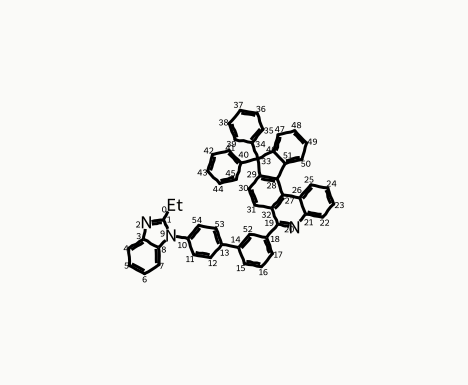 CCc1nc2ccccc2n1-c1ccc(-c2cccc(-c3nc4ccccc4c4c5c(ccc34)C(c3ccccc3)(c3ccccc3)c3ccccc3-5)c2)cc1